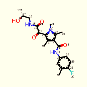 Cc1cc(NC(=O)c2c(C)c(C(=O)C(=O)NC[C@@H](C)O)n(C)c2C)ccc1F